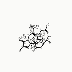 CC(=O)O[C@@]12C[C@@H](C)[C@@]3(OC(=O)CCC(=O)[O-])[C@@H](C=C(CO)C[C@]4(O)C(=O)C(C)=C[C@@H]34)[C@@H]1C2(C)C.[Na+]